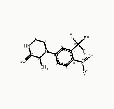 CC1C(=O)NCCN1c1ccc([N+](=O)[O-])c(C(F)(F)F)c1